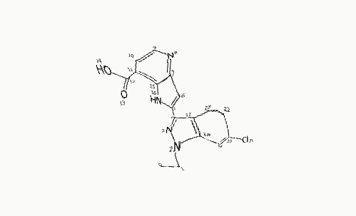 CCn1nc(-c2cc3nccc(C(=O)O)c3[nH]2)c2c1C=C(Cl)CC2